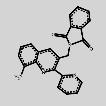 Nc1cccc2cc(CN3C(=O)c4ccccc4C3=O)c(-c3ccccn3)nc12